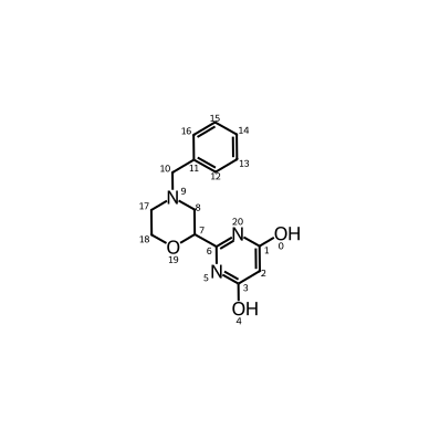 Oc1cc(O)nc(C2CN(Cc3ccccc3)CCO2)n1